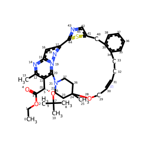 CCOC(=O)[C@@H](OC(C)(C)C)c1c(C)nc2cc3nn2c1N1CCC(C)(CC1)OC/C=C\CCc1ccccc1Cc1cnc-3s1